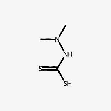 CN(C)NC(=S)S